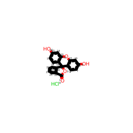 Cl.O=C1OC2(c3ccc(O)cc3Oc3cc(O)ccc32)c2ccccc21